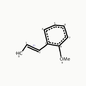 [CH]/C=C/c1ccccc1OC